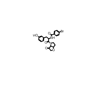 O=C(NC(Cc1cccc(O)c1)C(=O)N1CCC2OCC(=O)C21)c1ccc(Br)cc1